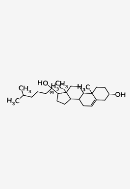 CC(C)CCC[C@@](C)(O)C1CCC2C3CC=C4CC(O)CCC4(C)C3CCC21C